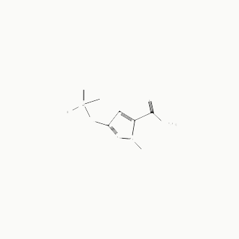 COC(=O)c1cc(O[Si](C)(C)C(C)(C)C)nn1C